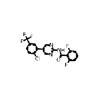 O=C(Nc1ncc(-c2cc(C(F)(F)F)ccc2Cl)cn1)c1c(F)cccc1F